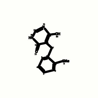 CSc1ccccc1Cc1c(O)nc[nH]c1=O